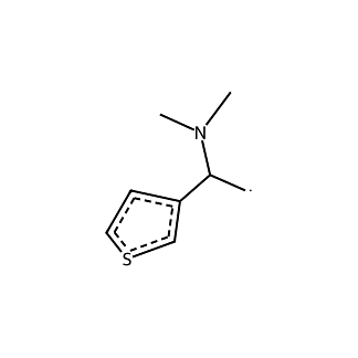 [CH2]C(c1ccsc1)N(C)C